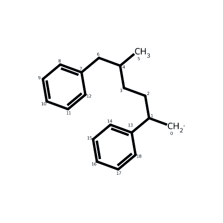 [CH2]C(CCC(C)Cc1ccccc1)c1ccccc1